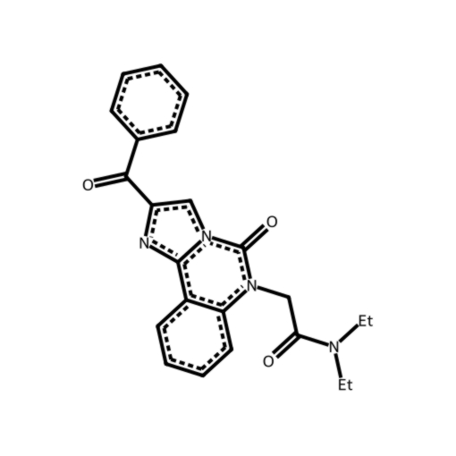 CCN(CC)C(=O)Cn1c(=O)n2cc(C(=O)c3ccccc3)nc2c2ccccc21